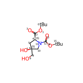 CC(C)(C)OC(=O)[C@@H]1C[C@@](O)(CO)CN1C(=O)OC(C)(C)C